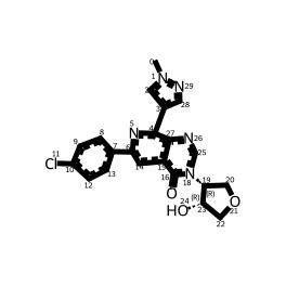 Cn1cc(-c2nc(-c3ccc(Cl)cc3)cc3c(=O)n([C@@H]4COC[C@@H]4O)cnc23)cn1